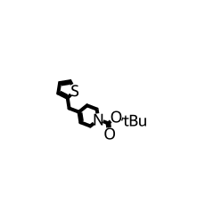 CC(C)(C)OC(=O)N1CC=C(Cc2cccs2)CC1